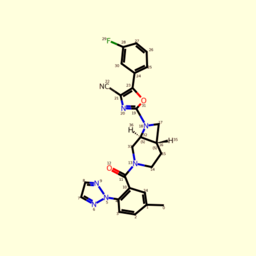 Cc1ccc(-n2nccn2)c(C(=O)N2CC[C@H]3CN(c4nc(C#N)c(-c5cccc(F)c5)o4)[C@@H]3C2)c1